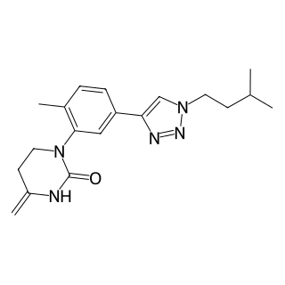 C=C1CCN(c2cc(-c3cn(CCC(C)C)nn3)ccc2C)C(=O)N1